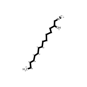 [C-]#[N+]CC(O)CCCCCCCCCCCCC